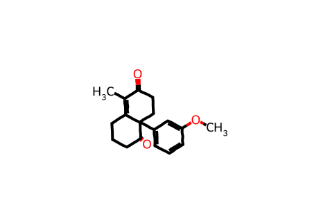 COc1cccc(C23CCC(=O)C(C)=C2CCCC3=O)c1